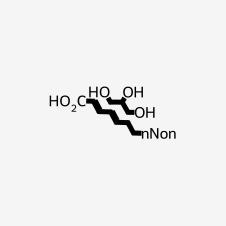 CCCCCCCCCCCC=CC=CC(=O)O.OCC(O)CO